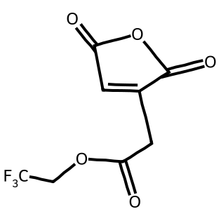 O=C1C=C(CC(=O)OCC(F)(F)F)C(=O)O1